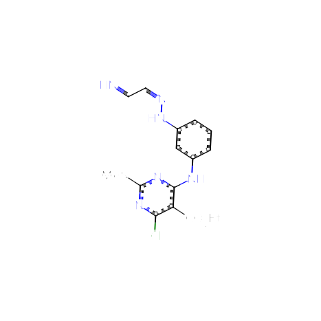 CCOC(=O)c1c(Cl)nc(SC)nc1Nc1cccc(N/N=C\C=N)c1